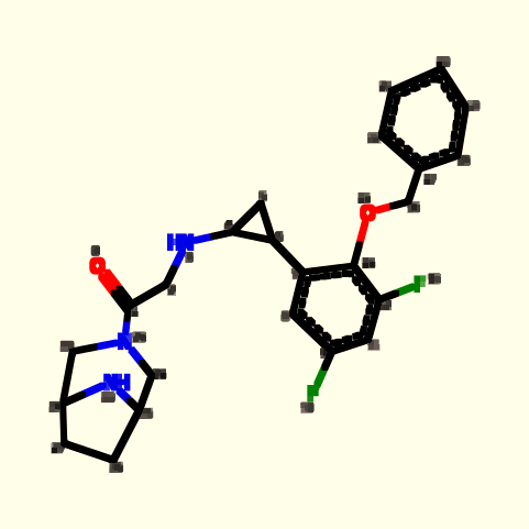 O=C(CNC1CC1c1cc(F)cc(F)c1OCc1ccccc1)N1CC2CCC(C1)N2